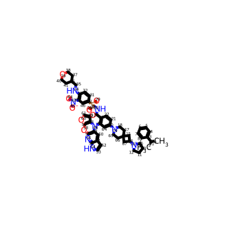 CC(C)c1ccccc1[C@@H]1CCCN1C1CC2(CCN(c3ccc(C(=O)NS(=O)(=O)c4ccc(NCC5CCOCC5)c([N+](=O)[O-])c4)c(N4c5cc6cc[nH]c6nc5Oc5occc54)c3)CC2)C1